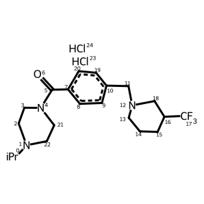 CC(C)N1CCN(C(=O)c2ccc(CN3CCCC(C(F)(F)F)C3)cc2)CC1.Cl.Cl